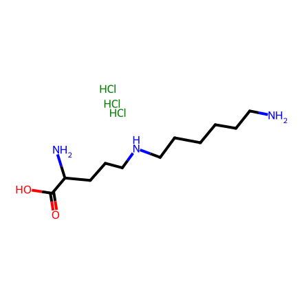 Cl.Cl.Cl.NCCCCCCNCCCC(N)C(=O)O